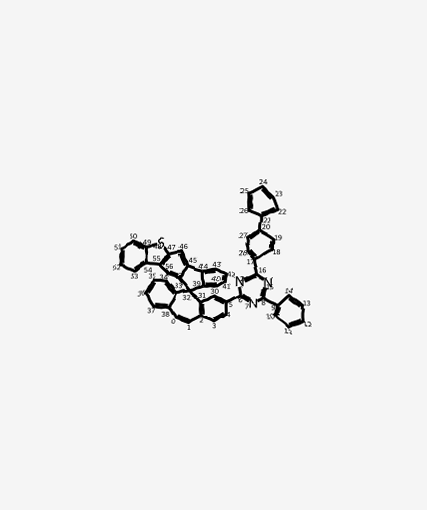 C1=Cc2ccc(-c3nc(-c4ccccc4)nc(-c4ccc(-c5ccccc5)cc4)n3)cc2C2(c3ccccc31)c1ccccc1-c1cc3sc4ccccc4c3cc12